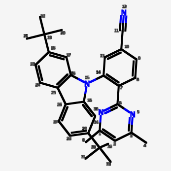 Cc1cc(C)nc(-c2ccc(C#N)cc2-n2c3cc(C(C)(C)C)ccc3c3ccc(C(C)(C)C)cc32)n1